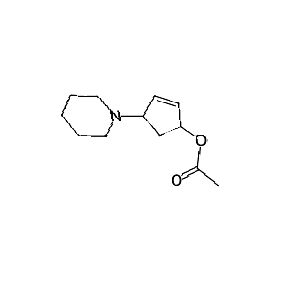 CC(=O)OC1C=CC(N2CCCCC2)C1